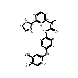 CN(C(=O)Oc1ccc(Nc2cc(Cl)c(C#N)cn2)cc1)c1cccc(C2OCCO2)n1